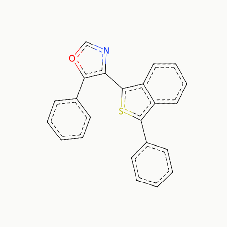 c1ccc(-c2ocnc2-c2sc(-c3ccccc3)c3ccccc23)cc1